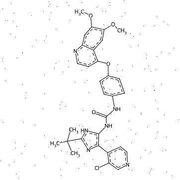 COc1cc2nccc(Oc3ccc(NC(=O)Nc4[nH]c(C(C)(C)C)nc4-c4ccncc4Cl)cc3)c2cc1OC